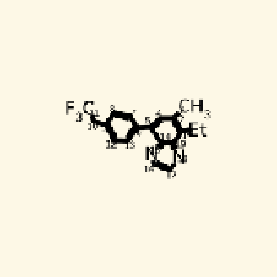 CCc1c(C)cc(-c2ccc(CC(F)(F)F)cc2)c2nccnc12